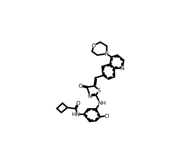 O=C1N=C(Nc2cc(NC(=O)C3CCC3)ccc2Cl)S/C1=C\c1ccc2nccc(N3CCOCC3)c2c1